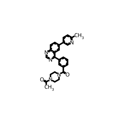 CC(=O)N1CCN(C(=O)c2cccc(-c3ncnc4ccc(-c5ccc(C)nc5)cc34)c2)CC1